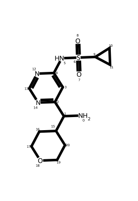 NC(c1cc(NS(=O)(=O)C2CC2)ncn1)C1CCOCC1